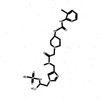 CCCCS(=O)(=O)NC(Cn1cnc(CN(C)C(=O)CN2CCC(NC(=O)Nc3ncccc3C)CC2)c1)C(=O)O